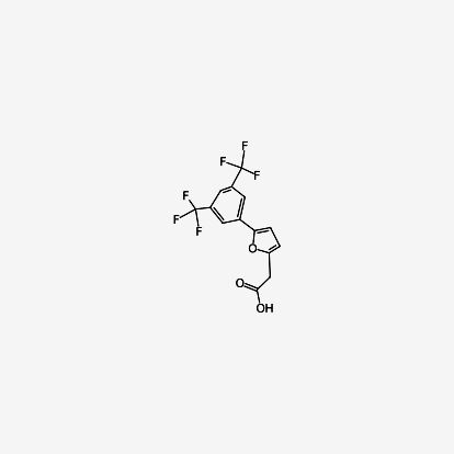 O=C(O)Cc1ccc(-c2cc(C(F)(F)F)cc(C(F)(F)F)c2)o1